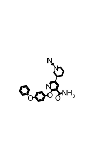 N#CN1CCC[C@@H](c2cnc(Oc3ccc(Oc4ccccc4)cc3)c(C(N)=O)c2)C1